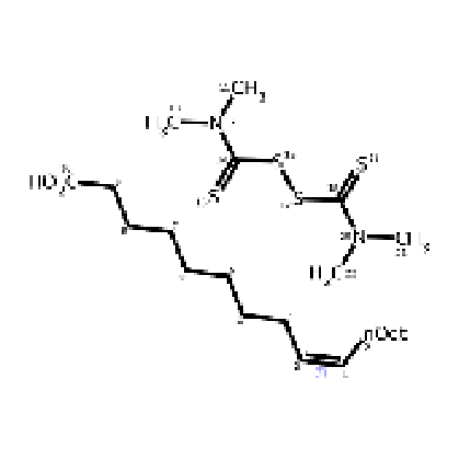 CCCCCCCC/C=C\CCCCCCCC(=O)O.CN(C)C(=S)SSC(=S)N(C)C